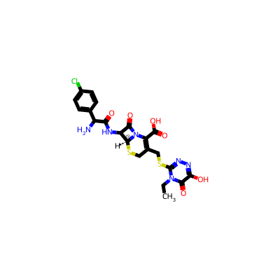 CCn1c(SCC2=C(C(=O)O)N3C(=O)C(NC(=O)C(N)c4ccc(Cl)cc4)[C@@H]3SC2)nnc(O)c1=O